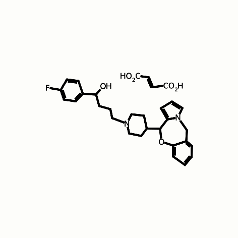 O=C(O)/C=C/C(=O)O.OC(CCCN1CCC(C2Oc3ccccc3Cn3cccc32)CC1)c1ccc(F)cc1